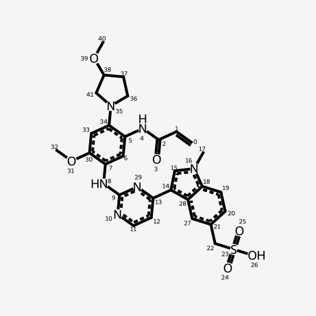 C=CC(=O)Nc1cc(Nc2nccc(-c3cn(C)c4ccc(CS(=O)(=O)O)cc34)n2)c(OC)cc1N1CCC(OC)C1